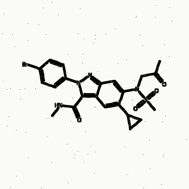 CNC(=O)c1c2cc(C3CC3)c(N(CC(C)=O)S(C)(=O)=O)cc2nn1-c1ccc(Br)cc1